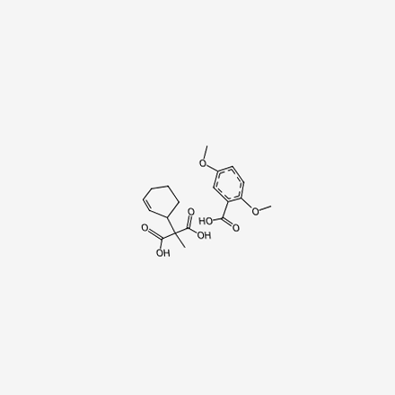 CC(C(=O)O)(C(=O)O)C1C=CCCC1.COc1ccc(OC)c(C(=O)O)c1